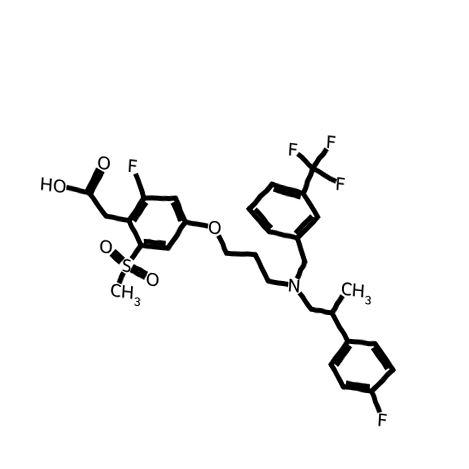 CC(CN(CCCOc1cc(F)c(CC(=O)O)c(S(C)(=O)=O)c1)Cc1cccc(C(F)(F)F)c1)c1ccc(F)cc1